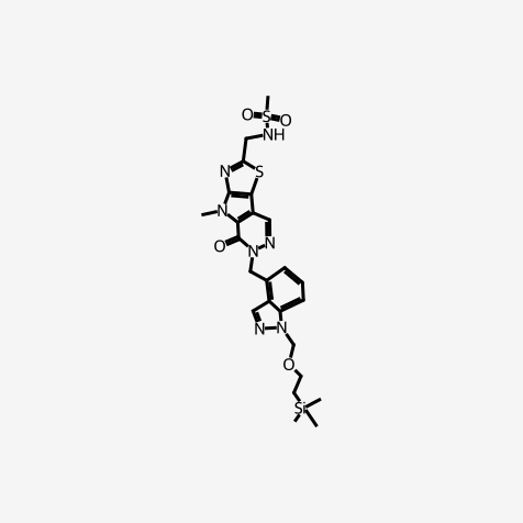 Cn1c2nc(CNS(C)(=O)=O)sc2c2cnn(Cc3cccc4c3cnn4COCC[Si](C)(C)C)c(=O)c21